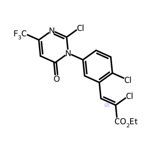 CCOC(=O)/C(Cl)=C/c1cc(-n2c(Cl)nc(C(F)(F)F)cc2=O)ccc1Cl